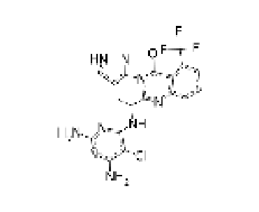 CC(Nc1nc(N)nc(N)c1Cl)c1nc2cccc(C(F)(F)F)c2c(=O)n1-c1cc[nH]n1